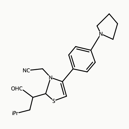 CC(C)CC(C=O)C1SC=C(c2ccc(N3CCCC3)cc2)N1CC#N